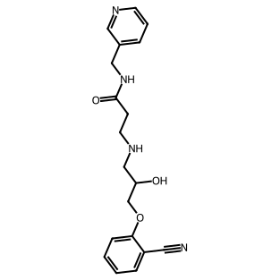 N#Cc1ccccc1OCC(O)CNCCC(=O)NCc1cccnc1